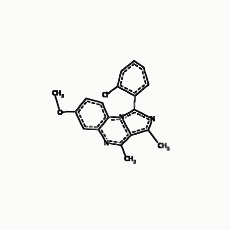 COc1ccc2c(c1)nc(C)c1c(C)nc(-c3ccccc3Cl)n12